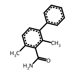 Cc1ccc(-c2ccccc2)c(C)c1C(N)=O